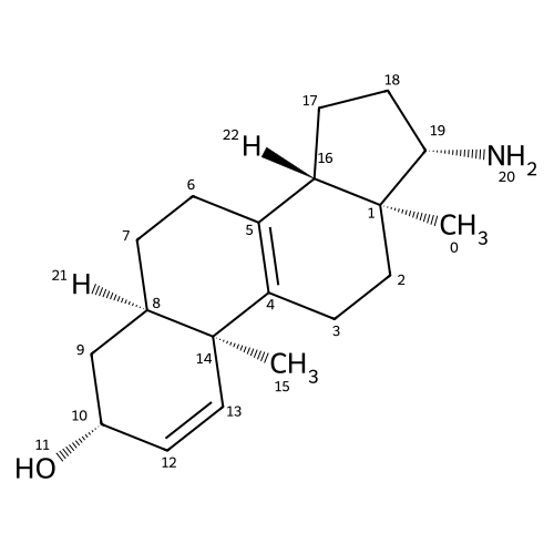 C[C@]12CCC3=C(CC[C@@H]4C[C@@H](O)C=C[C@]34C)[C@@H]1CC[C@@H]2N